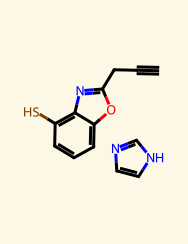 C#CCc1nc2c(S)cccc2o1.c1c[nH]cn1